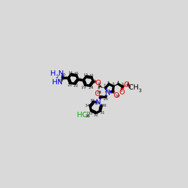 COC(=O)C[C@@H]1C[C@@H](COc2ccc(-c3ccc(C(=N)N)cc3)cc2)N(CC(=O)N2C=CC=CC=C2)C1=O.Cl